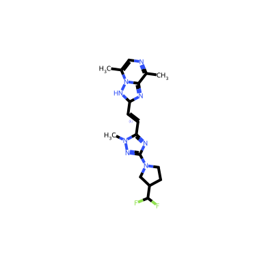 CC1=CN=C(C)C2=NC(/C=C/c3nc(N4CCC(C(F)F)C4)nn3C)NN12